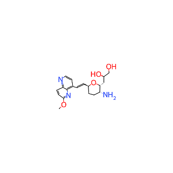 COc1ccc2nccc(C=C[C@@H]3CC[C@@H](N)[C@@H](C[C@@H](O)CO)O3)c2n1